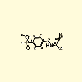 COP(C)(=O)c1ccc(CNC(C)C#N)cc1